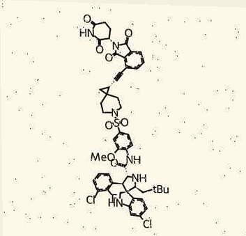 COc1cc(S(=O)(=O)N2CCC3(CC2)C[C@@H]3C#Cc2cccc3c2C(=O)N([C@H]2CCC(=O)NC2=O)C3=O)ccc1NC(=O)[C@@H]1N[C@@H](CC(C)(C)C)[C@@]2(CNc3cc(Cl)ccc32)[C@H]1c1cccc(Cl)c1F